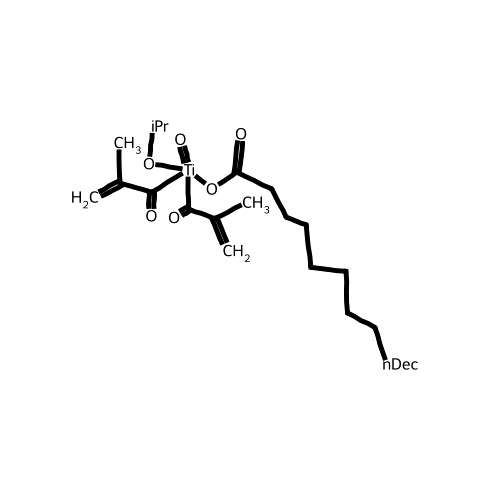 C=C(C)[C](=O)[Ti](=[O])([O]C(=O)CCCCCCCCCCCCCCCCC)([O]C(C)C)[C](=O)C(=C)C